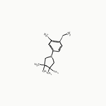 CCc1ccc(B2CC(C)(C)C(C)(C)C2)cc1C